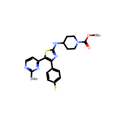 CSc1nccc(-c2sc(NC3CCN(C(=O)OC(C)(C)C)CC3)nc2-c2ccc(F)cc2)n1